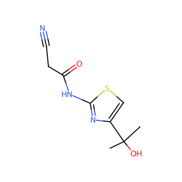 CC(C)(O)c1csc(NC(=O)CC#N)n1